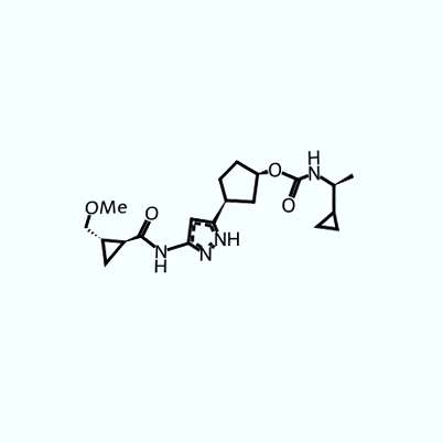 COC[C@H]1C[C@@H]1C(=O)Nc1cc([C@H]2CC[C@@H](OC(=O)N[C@@H](C)C3CC3)C2)[nH]n1